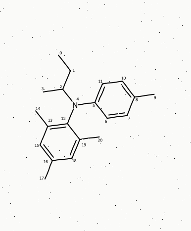 CCC(C)N(c1ccc(C)cc1)c1c(C)cc(C)cc1C